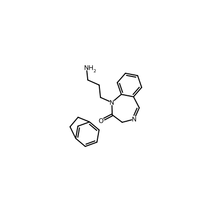 NCCCN1C(=O)CN=Cc2ccccc21.c1cc2cc(c1)CC2